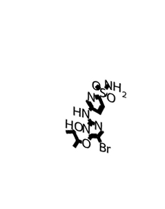 CC(O)C(C)Oc1nc(Nc2ccc(S(N)(=O)=O)nc2)ncc1Br